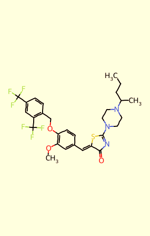 CCCC(C)N1CCN(C2=NC(=O)C(=Cc3ccc(OCc4ccc(C(F)(F)F)cc4C(F)(F)F)c(OC)c3)S2)CC1